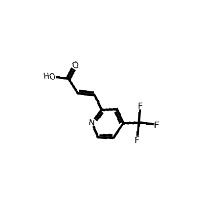 O=C(O)/C=C/c1cc(C(F)(F)F)ccn1